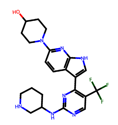 OC1CCN(c2ccc3c(-c4nc(NC5CCCNC5)ncc4C(F)(F)F)c[nH]c3n2)CC1